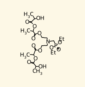 CCOP(=O)(CN(CCOC(=O)C(C)OC(=O)C(C)O)CCOC(=O)C(C)OC(=O)C(C)O)OCC